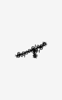 CC(C)(C)OC(=O)NCCOCCOCCOCCNC(=O)[C@H](CCCCNC(=O)OCc1ccccc1)NC(=O)OCc1ccccc1